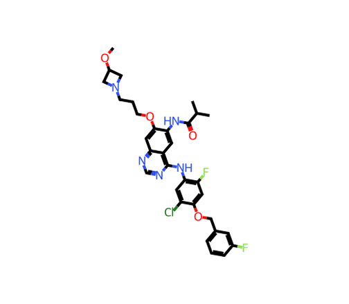 COC1CN(CCCOc2cc3ncnc(Nc4cc(Cl)c(OCc5cccc(F)c5)cc4F)c3cc2NC(=O)C(C)C)C1